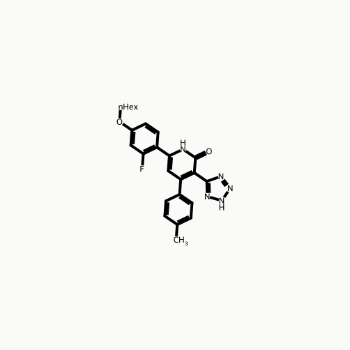 CCCCCCOc1ccc(-c2cc(-c3ccc(C)cc3)c(-c3nn[nH]n3)c(=O)[nH]2)c(F)c1